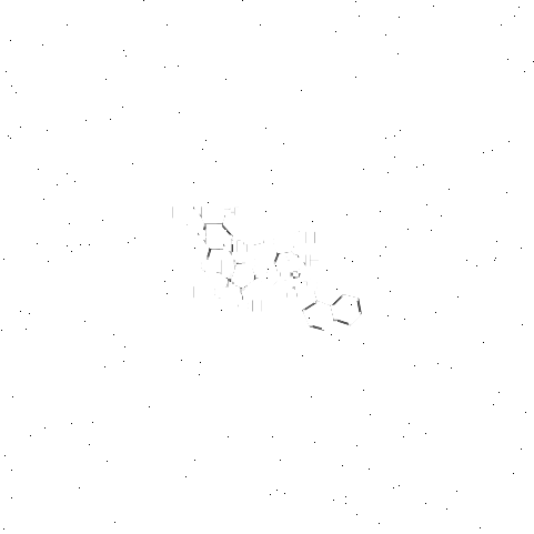 C=C1N=C(N)C(Br)=CN1[C@@H]1O[C@H](CO[P@@](=O)(N[C@H](C)C(=O)OC(C)C)Oc2cccc3ccccc23)[C@@H](O)[C@@]1(C)Cl